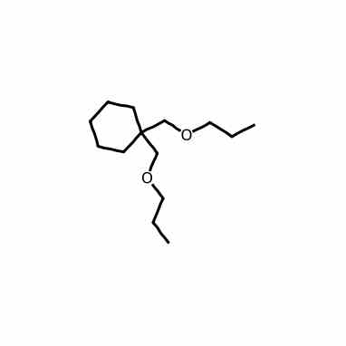 CCCOCC1(COCCC)CCCCC1